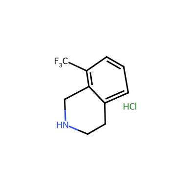 Cl.FC(F)(F)c1cccc2c1CNCC2